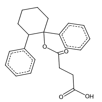 O=C(O)CCC(=O)OC1(c2ccccc2)CCCCC1c1ccccc1